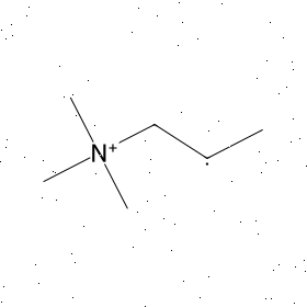 C[CH]C[N+](C)(C)C